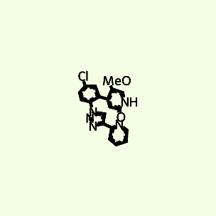 COc1c[nH]c(=O)cc1-c1cc(Cl)ccc1-n1cc(-c2ccccn2)nn1